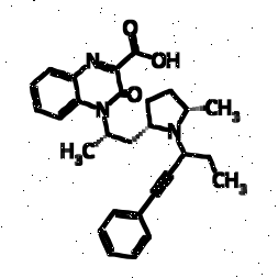 CCC(C#Cc1ccccc1)N1[C@H](C[C@H](C)n2c(=O)c(C(=O)O)nc3ccccc32)CC[C@@H]1C